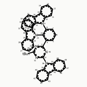 CC(C)(C)c1nc(-c2cccc(-n3c4ccccc4c4ccccc43)c2-n2c3ccccc3c3ccccc32)nc(-n2c3ccccc3c3ccccc32)n1